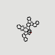 c1ccc2c(c1)ccc1c2c2ccccc2n1-c1nc2ccccc2nc1-n1c2ccccc2c2c3c4ccc5ccccc5c4n4c5ccccc5c(cc21)c34